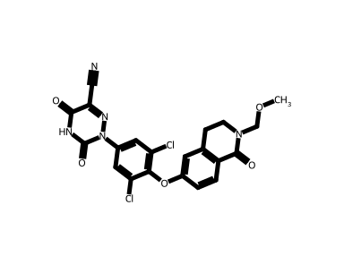 COCN1CCc2cc(Oc3c(Cl)cc(-n4nc(C#N)c(=O)[nH]c4=O)cc3Cl)ccc2C1=O